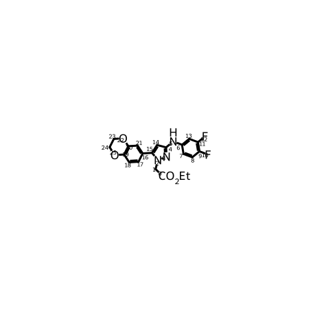 CCOC(=O)Cn1nc(Nc2ccc(F)c(F)c2)cc1-c1ccc2c(c1)OCCO2